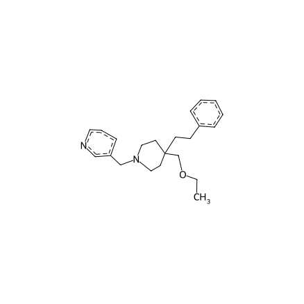 CCOCC1(CCc2ccccc2)CCN(Cc2cccnc2)CC1